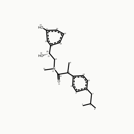 CC(C)Cc1ccc(C(C)C(=O)N(C)C[C@H](O)c2cccc(O)c2)cc1